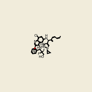 C=C(/C=C\C=C/C)[C@H](Nc1cc(Cl)c2ncc(C#N)c(N[C@@H](c3ccccc3)C(F)(F)CO)c2c1)C1=CN(C2CC2)NN1